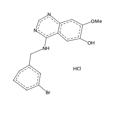 COc1cc2ncnc(NCc3cccc(Br)c3)c2cc1O.Cl